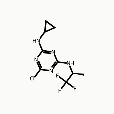 C[C@H](Nc1nc(Cl)nc(NC2CC2)n1)C(F)(F)F